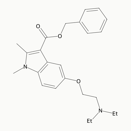 CCN(CC)CCOc1ccc2c(c1)c(C(=O)OCc1ccccc1)c(C)n2C